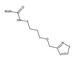 CNC(=O)NSCCCOCc1ccsn1